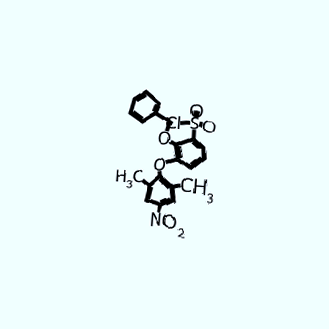 Cc1cc([N+](=O)[O-])cc(C)c1Oc1cccc(S(=O)(=O)Cl)c1OCc1ccccc1